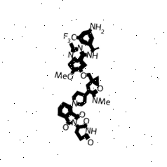 CNC(=O)C(CC1(COc2cc3c(N[C@H](C)c4cc(N)cc(C(F)(F)F)c4)nc(C)nc3cc2OC)CC1)C1CCN(c2cccc3c2C(=O)N(C2CCC(=O)NC2=O)C3=O)CC1